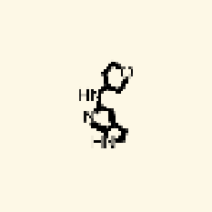 c1cc2cc(NC3CCOCC3)ncc2[nH]1